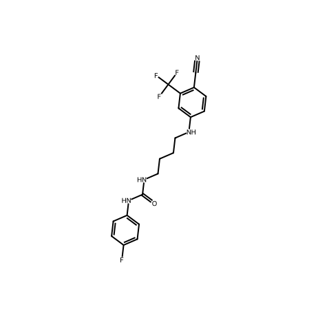 N#Cc1ccc(NCCCCNC(=O)Nc2ccc(F)cc2)cc1C(F)(F)F